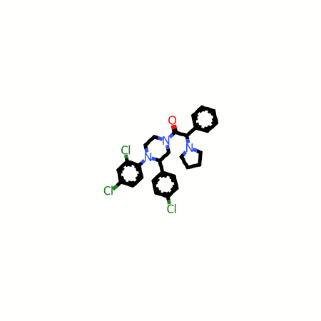 O=C(C(c1ccccc1)N1CCCC1)N1CCN(c2ccc(Cl)cc2Cl)C(c2ccc(Cl)cc2)C1